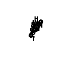 COC(=O)[C@@H](Nc1nc(CN2CCN(S(=O)(=O)Cc3cccc(CI)c3)CC2)nc2ccccc12)C(C)C